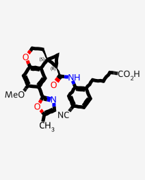 COc1cc2c(cc1-c1ncc(C)o1)[C@]1(CCO2)C[C@H]1C(=O)Nc1cc(C#N)ccc1CCCC(=O)O